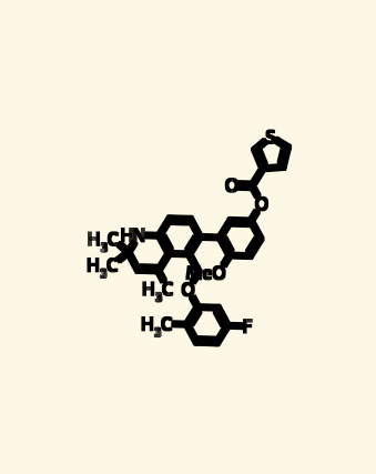 COc1ccc(OC(=O)c2ccsc2)cc1-c1ccc2c(c1COc1cc(F)ccc1C)C(C)=CC(C)(C)N2